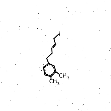 Cc1ccc(CCC=CCI)cc1C